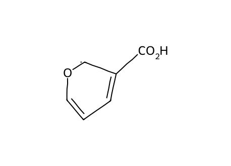 O=C(O)C1=CC=CO[CH]1